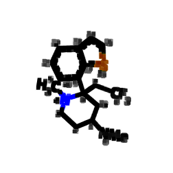 CNC1CCN(C)C(CC(F)(F)F)(c2cccc3ccsc23)C1